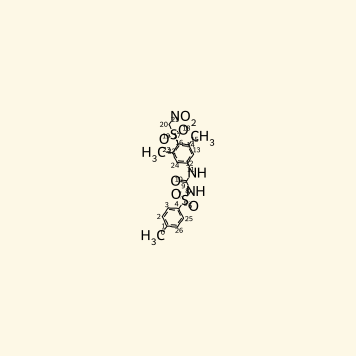 Cc1ccc(S(=O)(=O)NC(=O)Nc2cc(C)c(S(=O)(=O)C[N+](=O)[O-])c(C)c2)cc1